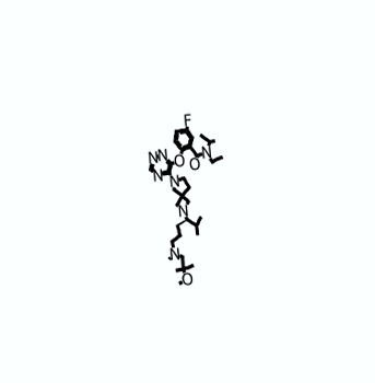 CCN(C(=O)c1cc(F)ccc1Oc1nncnc1N1CCC2(C1)CN([C@H](CCCN(C)CC(C)(C)OC)C(C)C)C2)C(C)C